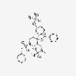 [2H]C([2H])([2H])Oc1cccc(C2(OC(=O)c3ccccc3)CCN(S(=O)(=O)Cc3ccccc3)CC2CN(C)C([2H])([2H])[2H])c1